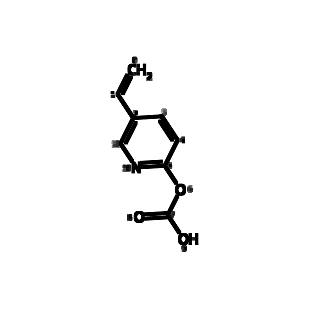 C=Cc1ccc(OC(=O)O)nc1